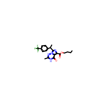 CCCCOC(=O)c1nc(C(C)c2ccc(C(F)(F)F)cc2)n2nc(C)[nH]c(=O)c12